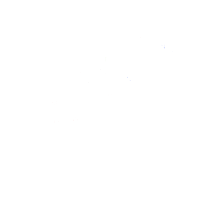 NC(=O)c1ccc[n+](C2OC(COP(=O)([O-])OCCc3ccccc3)[C@H](O)[C@@H]2F)c1